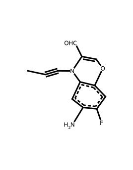 CC#CN1C(C=O)=COc2cc(F)c(N)cc21